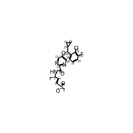 C[C@H](/C=C/S(C)(=O)=O)NC(=O)c1ncc(O[C@H](c2cccc(F)c2Cl)C2CC2)cn1